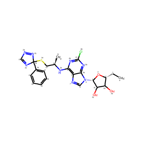 CC(=O)OC[C@H]1O[C@@H](n2cnc3c(N[C@H](C)CSC4(c5ccccc5)N=CN=N4)nc(Cl)nc32)C(O)C1O